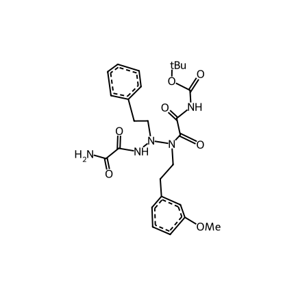 COc1cccc(CCN(C(=O)C(=O)NC(=O)OC(C)(C)C)N(CCc2ccccc2)NC(=O)C(N)=O)c1